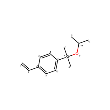 C=Cc1ccc([Si](C)(C)OC(C)C)cc1